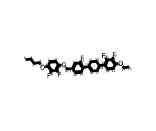 CCCCOc1ccc(OCc2ccc(C3=CCC(c4ccc(OCC)c(F)c4F)CC3)c(F)c2)c(F)c1F